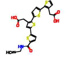 C#CCNC(=O)c1ccc(-c2cc(CC(=O)O)c(-c3ccc(-c4sccc4CC(=O)O)s3)s2)s1